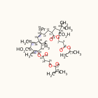 C=C(C)OC(=O)CCOC(=O)C(CC/C(=C\C1=C(C)C/C(OC(=O)CCOC(=O)C(=C)C)=C(/C)C(C(=O)O)/C(C)=C/1)CCC)CC(C(=C)C)C(=O)O